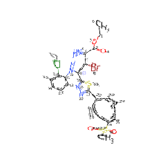 CCOC(=O)C(=N)/C(Br)=C(\Nc1ccccc1Cl)c1nnc(-c2cccc(S(C)(=O)=O)c2)s1